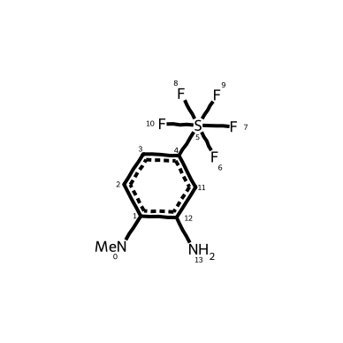 CNc1ccc(S(F)(F)(F)(F)F)cc1N